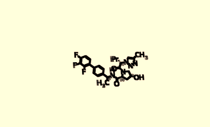 Cc1cn([C@H](C(=O)N2C[C@H](O)C[C@H]2C(=O)N[C@@H](C)c2ccc(-c3ccc(F)c(F)c3F)cc2)C(C)C)nn1